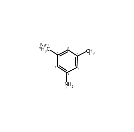 Cc1cc(C)cc(N)c1.[Na]